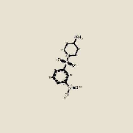 NC1CCN(S(=O)(=O)c2cccc([N+](=O)[O-])c2)CC1